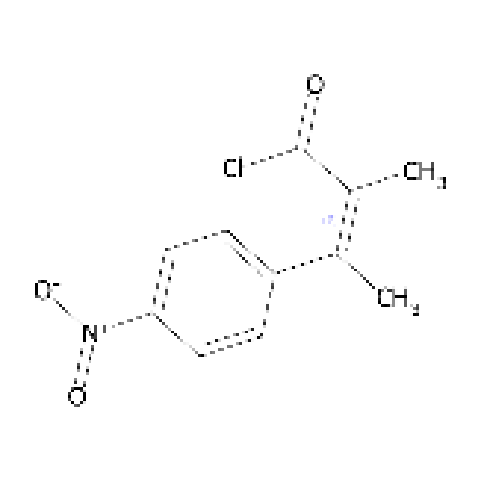 C/C(C(=O)Cl)=C(\C)c1ccc([N+](=O)[O-])cc1